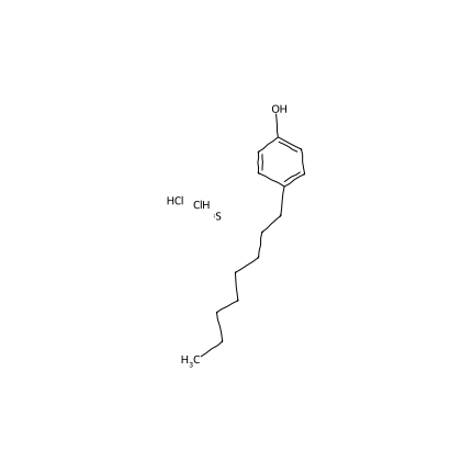 CCCCCCCCc1ccc(O)cc1.Cl.Cl.[S]